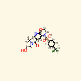 CC(C)(C)N(CCO)C(=O)c1cnc2c(c1)N(S(=O)(=O)c1ccc(C(F)(F)F)cc1)CCO2